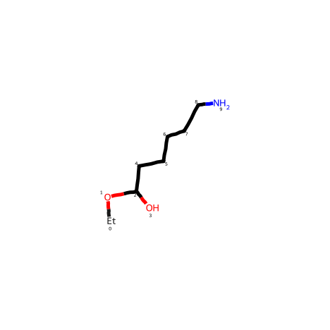 CCOC(O)CCCCCN